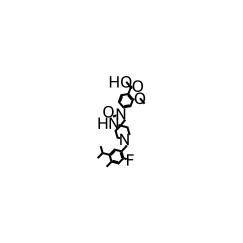 COc1cc(N2CC3(CCN(Cc4cc(C(C)C)c(C)cc4F)CC3)NC2=O)ccc1C(=O)O